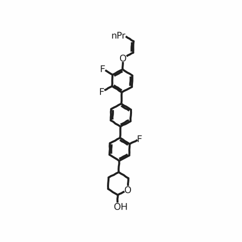 CCC/C=C\Oc1ccc(-c2ccc(-c3ccc(C4CCC(O)OC4)cc3F)cc2)c(F)c1F